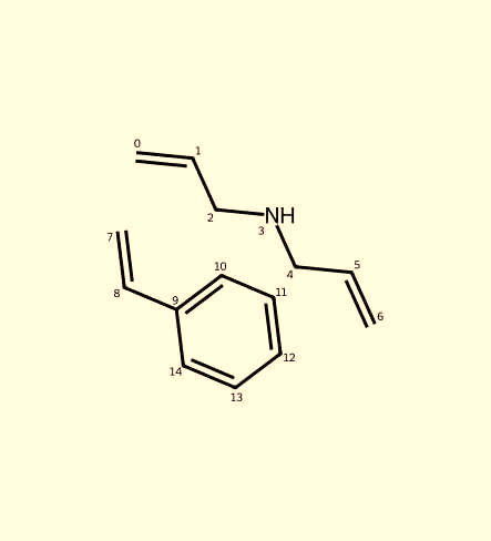 C=CCNCC=C.C=Cc1ccccc1